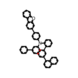 c1ccc(-c2cccc(N(c3ccc(-c4ccc5c(c4)oc4ccccc45)cc3)c3ccccc3-c3cccc(-c4cccc5ccccc45)c3)c2)cc1